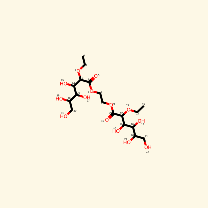 CCOC(C(=O)OCCOC(=O)C(OCC)C(O)C(O)C(O)CO)C(O)C(O)C(O)CO